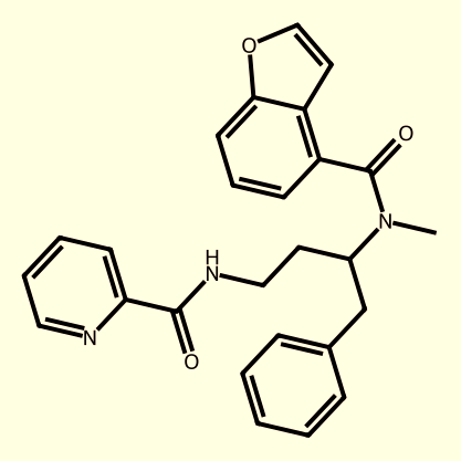 CN(C(=O)c1cccc2occc12)C(CCNC(=O)c1ccccn1)Cc1ccccc1